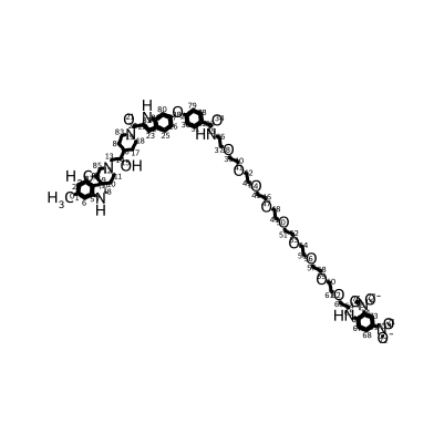 Cc1ccc2c(c1)NC[C@]21CCN(CC(O)C2CCN(C(=O)c3cc4ccc(Oc5ccc(C(=O)NCCOCCOCCOCCOCCOCCOCCOCCOCCOCCNc6ccc([N+](=O)[O-])cc6[N+](=O)[O-])cc5)cc4[nH]3)CC2)C[C@H]1C